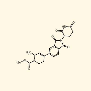 CC1C=C(c2ccc3c(c2)C(=O)N(C2CCC(=O)NC2=O)C3=O)CCN1C(=O)OC(C)(C)C